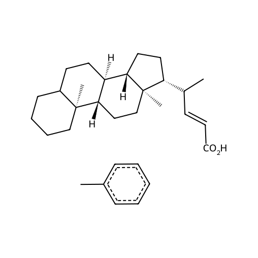 CC(C=CC(=O)O)[C@H]1CC[C@H]2[C@@H]3CCC4CCCC[C@]4(C)[C@H]3CC[C@]12C.Cc1ccccc1